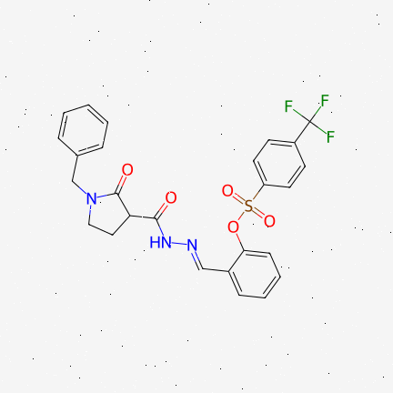 O=C(NN=Cc1ccccc1OS(=O)(=O)c1ccc(C(F)(F)F)cc1)C1CCN(Cc2ccccc2)C1=O